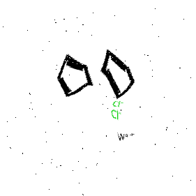 C1=CCC=C1.C1=CCC=C1.[Cl-].[Cl-].[W+4]